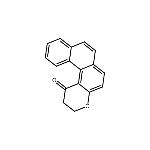 O=C1CCOc2ccc3ccc4ccccc4c3c21